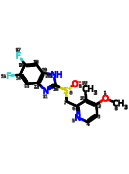 COc1ccnc(C[S+]([O-])c2nc3cc(F)c(F)cc3[nH]2)c1C